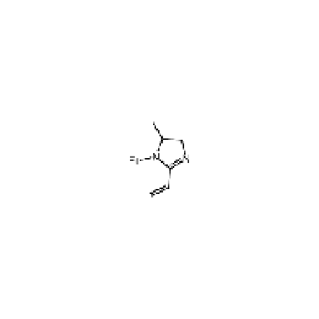 C=CC1=NCC(C)N1CC